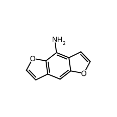 Nc1c2ccoc2cc2ccoc12